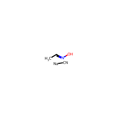 CC=NO.N#[C][Na]